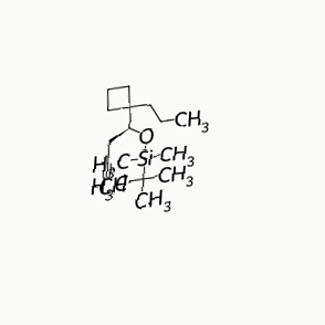 C#CC[C@H](O[Si](C)(C)C(C)(C)C)C1(CCC)CCC1